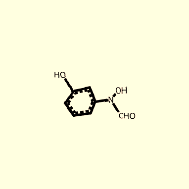 O=CN(O)c1cccc(O)c1